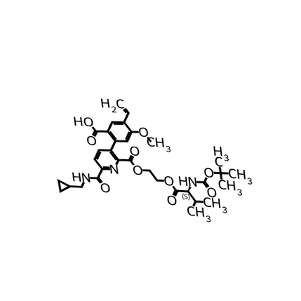 C=Cc1cc(C(=O)O)c(-c2ccc(C(=O)NCC3CC3)nc2C(=O)OCCOC(=O)[C@@H](NC(=O)OC(C)(C)C)C(C)C)cc1OC